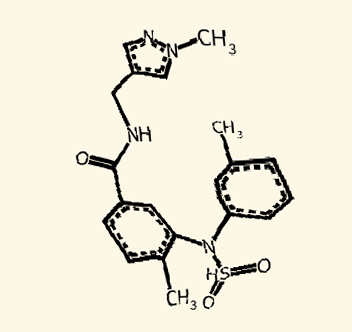 Cc1cccc(N(c2cc(C(=O)NCc3cnn(C)c3)ccc2C)[SH](=O)=O)c1